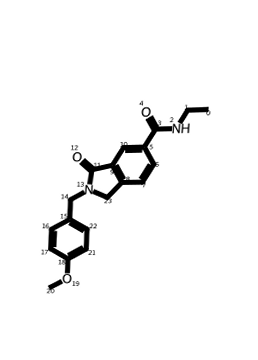 CCNC(=O)c1ccc2c(c1)C(=O)N(Cc1ccc(OC)cc1)C2